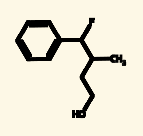 CC(CCO)C(F)c1ccccc1